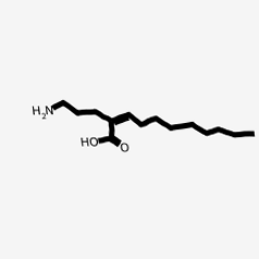 CCCCCCCCC=C(CCCN)C(=O)O